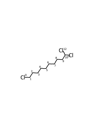 ClCCCCCCCCCC(Cl)Cl